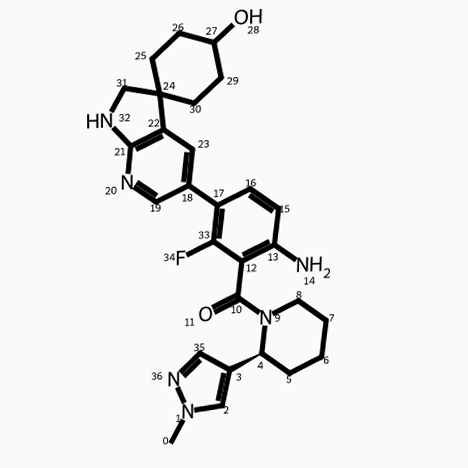 Cn1cc([C@@H]2CCCCN2C(=O)c2c(N)ccc(-c3cnc4c(c3)C3(CCC(O)CC3)CN4)c2F)cn1